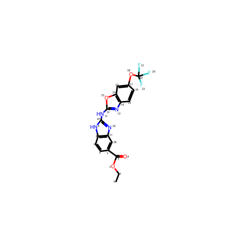 CCOC(=O)c1ccc2[nH]c(Nc3nc4ccc(OC(F)(F)F)cc4o3)nc2c1